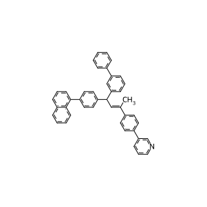 C/C(=C\C(c1ccc(-c2cccc3ccccc23)cc1)c1cccc(-c2ccccc2)c1)c1ccc(-c2cccnc2)cc1